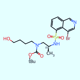 C[C@@H](CN(CCCCO)C(=O)OC(C)(C)C)NS(=O)(=O)c1cccc2cncc(Br)c12